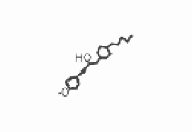 CCCCCC1CCC(CC(O)C#Cc2ccc(OC)cc2)CC1